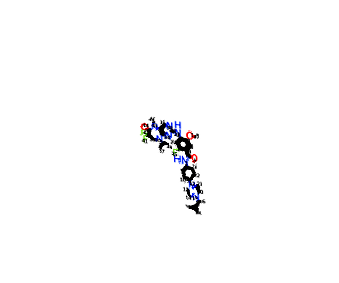 COc1cc(C(=O)NC2CCC(N3CCN(CC4CC4)CC3)CC2)c(F)cc1Nc1ncc2c(n1)N(C(C)C)CC(F)(F)C(=O)N2C